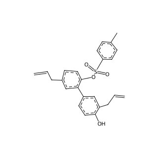 C=CCc1ccc(OS(=O)(=O)c2ccc(C)cc2)c(-c2ccc(O)c(CC=C)c2)c1